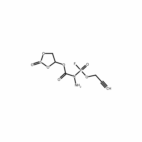 C#CCOP(=O)(F)N(N)C(=O)OC1COS(=O)O1